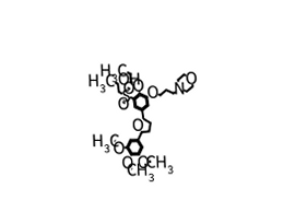 CCCOc1c(OCCCN2CCOCC2)cc(C2CCC(c3cc(OC)c(OC)c(OC)c3)O2)cc1S(=O)(=O)CC(C)O